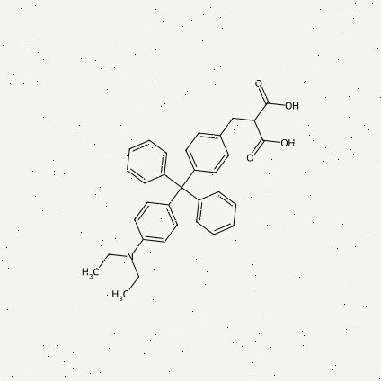 CCN(CC)c1ccc(C(c2ccccc2)(c2ccccc2)c2ccc(CC(C(=O)O)C(=O)O)cc2)cc1